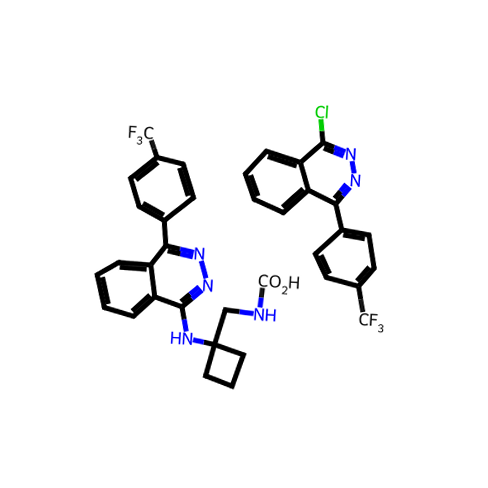 FC(F)(F)c1ccc(-c2nnc(Cl)c3ccccc23)cc1.O=C(O)NCC1(Nc2nnc(-c3ccc(C(F)(F)F)cc3)c3ccccc23)CCC1